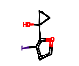 OC1(c2occc2I)CC1